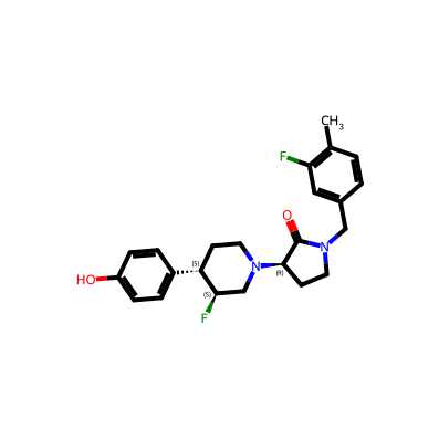 Cc1ccc(CN2CC[C@@H](N3CC[C@@H](c4ccc(O)cc4)[C@H](F)C3)C2=O)cc1F